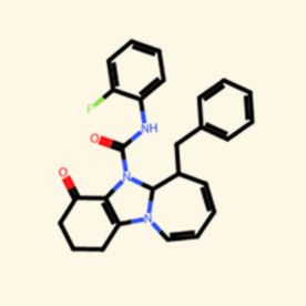 O=C1CCCC2=C1N(C(=O)Nc1ccccc1F)C1C(Cc3ccccc3)C=CC=CN21